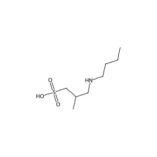 CCCCNCC(C)CS(=O)(=O)O